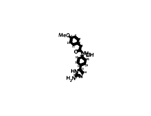 COc1ccc(CC(=O)Nc2ccc(-c3cnc(N)[nH]3)cc2)cc1.Cl